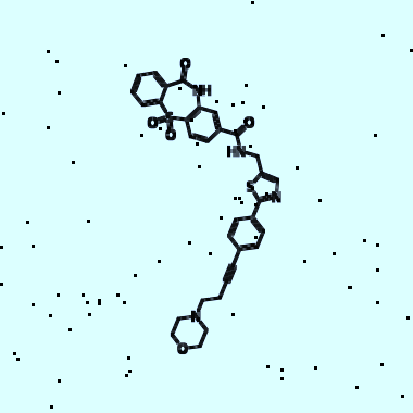 O=C(NCc1cnc(-c2ccc(C#CCCN3CCOCC3)cc2)s1)c1ccc2c(c1)NC(=O)c1ccccc1S2(=O)=O